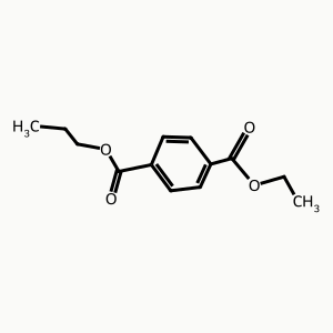 CCCOC(=O)c1ccc(C(=O)OCC)cc1